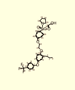 CCCc1cc(Oc2ccc(C(F)(F)F)cc2)ccc1OCCOc1ccc(S(=O)(=O)N2CCC[C@@H]2C(=O)O)cc1